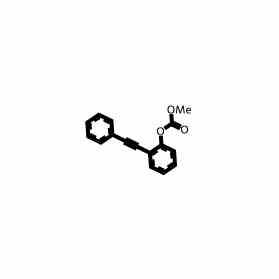 COC(=O)Oc1ccccc1C#Cc1ccccc1